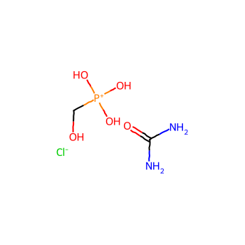 NC(N)=O.OC[P+](O)(O)O.[Cl-]